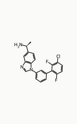 C[C@H](N)c1ccc2c(c1)ncn2-c1cccc(-c2c(F)ccc(Cl)c2F)c1